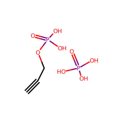 C#CCOP(=O)(O)O.O=P(O)(O)O